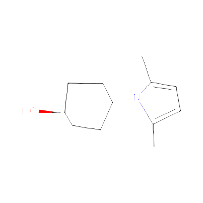 Cc1ccc(C)n1[C@H]1CC[C@H](O)CC1